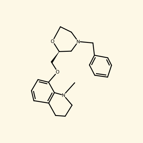 CN1CCCc2cccc(OC[C@@H]3CN(Cc4ccccc4)CCO3)c21